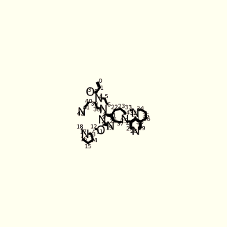 C=CC(=O)N1CCN(c2nc(OC[C@@H]3CCCN3C)nc3c2CCCN(c2cncc4c2N(C)CCC4)C3)C[C@@H]1CC#N